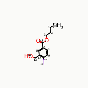 O=C(OCCC[SiH3])c1ccc(I)c(CO)c1